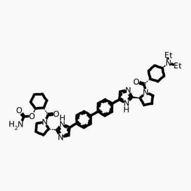 CCN(CC)[C@H]1CC[C@@H](C(=O)N2CCC[C@H]2c2ncc(-c3ccc(-c4ccc(-c5cnc([C@@H]6CCCN6C(=O)[C@H]6CCCC[C@H]6OC(N)=O)[nH]5)cc4)cc3)[nH]2)CC1